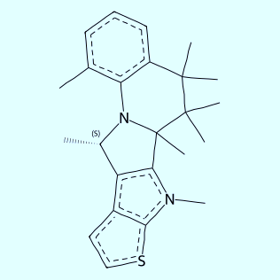 Cc1cccc2c1N1[C@@H](C)c3c(n(C)c4sccc34)C1(C)C(C)(C)C2(C)C